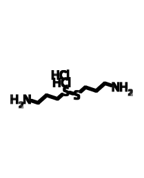 Cl.Cl.NCCCSSCCCN